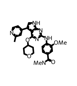 CNC(=O)c1ccc(Nc2nc(OC3CCOCC3)c3c(-c4ccnc(C)c4)c[nH]c3n2)c(OC)c1